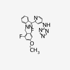 CCOc1cc(F)c(Cn2nc(-c3cc(Nc4ncncn4)ccn3)c3ccccc32)c(F)c1